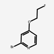 FCCOc1ccnc(Br)c1